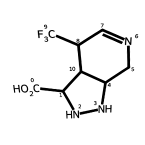 O=C(O)C1NNC2CN=CC(C(F)(F)F)C21